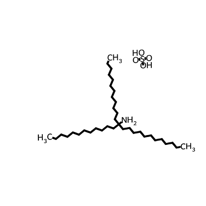 CCCCCCCCCCCCC(N)(CCCCCCCCCCCC)CCCCCCCCCCCC.O=S(=O)(O)O